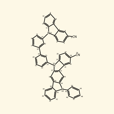 N#Cc1ccc2c(c1)c1ccccc1n2-c1cccc(-c2cccc(-n3c4ccc(C#N)cc4c4cc5c(cc43)c3ccccc3n5-c3ccccc3)c2)c1